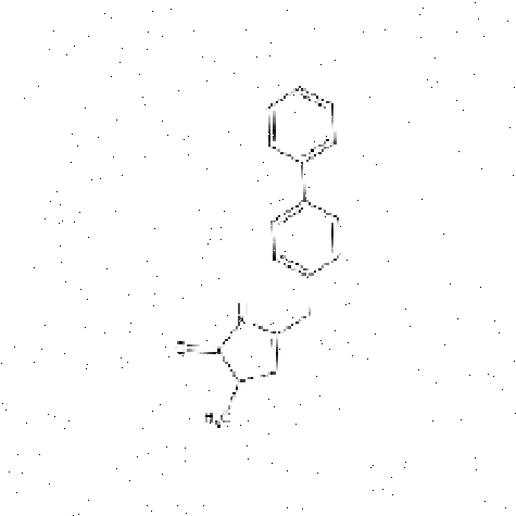 CC1C=C(Cc2ccc(-c3ccccc3)cc2)NC1=O